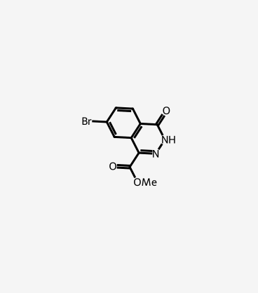 COC(=O)c1n[nH]c(=O)c2ccc(Br)cc12